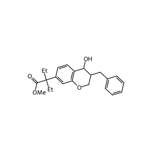 CCC(CC)(C(=O)OC)c1ccc2c(c1)OCC(Cc1ccccc1)C2O